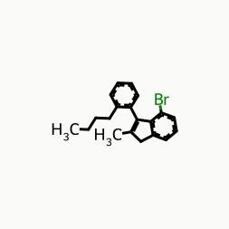 CCCCc1ccccc1C1=C(C)Cc2cccc(Br)c21